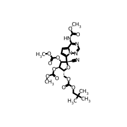 COC(=O)Nc1ncnn2c([C@]3(C#N)O[C@H](COC(=O)OCC(C)(C)C)[C@@H](OC(=O)OC)[C@H]3OC(=O)OC)ccc12